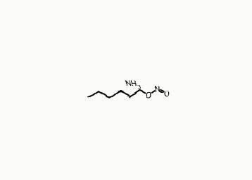 CCCCCCON=O.N